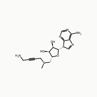 CN(CC#CCN)C[C@H]1O[C@@H](n2cnc3c(N)ncnc32)[C@H](O)[C@@H]1O